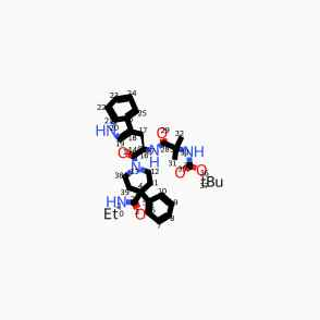 CCNC(=O)C1(c2ccccc2)CCN(C(=O)[C@@H](Cc2c[nH]c3ccccc23)NC(=O)C(C)(C)NC(=O)OC(C)(C)C)CC1